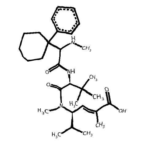 CNC(C(=O)N[C@H](C(=O)N(C)[C@@H](C=C(C)C(=O)O)C(C)C)C(C)(C)C)C1(c2ccccc2)CCCCC1